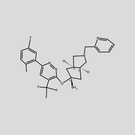 B[C@@]1(Oc2nnc(-c3cc(F)ccc3C)cc2C(F)(F)F)C[C@H]2CN(Cc3ccccn3)C[C@H]2C1